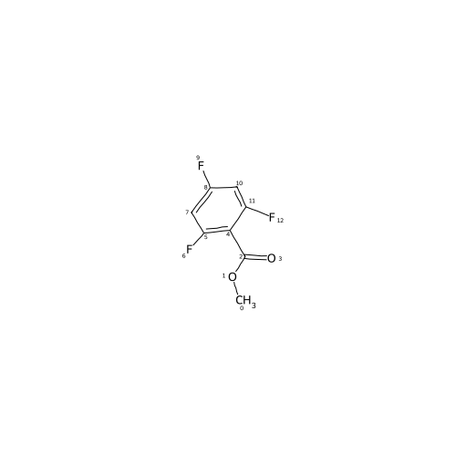 COC(=O)c1c(F)cc(F)cc1F